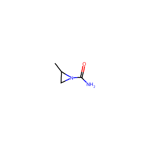 CC1CN1C(N)=O